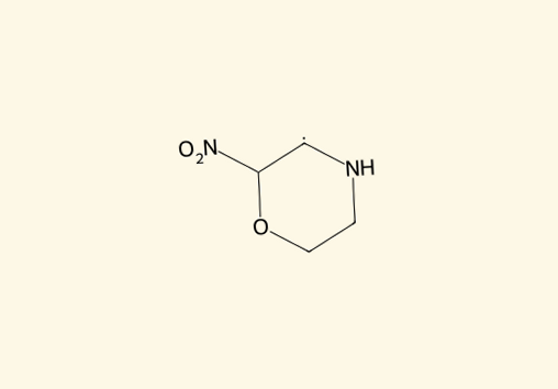 O=[N+]([O-])C1[CH]NCCO1